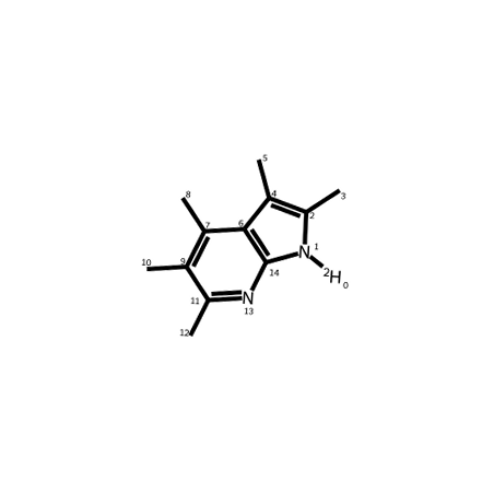 [2H]n1c(C)c(C)c2c(C)c(C)c(C)nc21